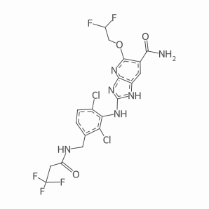 NC(=O)c1cc2[nH]c(Nc3c(Cl)ccc(CNC(=O)CC(F)(F)F)c3Cl)nc2nc1OCC(F)F